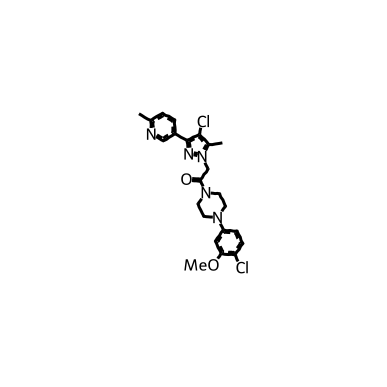 COc1cc(N2CCN(C(=O)Cn3nc(-c4ccc(C)nc4)c(Cl)c3C)CC2)ccc1Cl